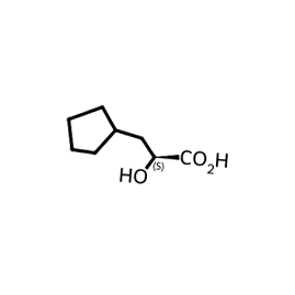 O=C(O)[C@@H](O)CC1CCCC1